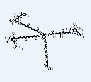 C#CC(=O)CCCOCCOCCOCCOCCC(=O)CC(COCCC(=O)CCCCCC(=O)CCCCOC1OC(COC(C)=O)C(C)C(C)C1C)(COCCC(=O)CCCCCC(=O)CCCCOC1OC(COC(C)=O)C(C)C(C)C1C)COCCC(=O)NCCCNC(=O)CCCCOC1OC(COC(C)=O)C(C)C(C)C1C